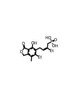 CCC(=CCc1c(O)c2c(c(C)c1CC)COC2=O)CP(=O)(O)O